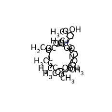 C=CCC1C=C(C)CC(C)CC(OC)C2OC(O)(C(=O)C(=O)N3CCCCC3C(=O)OC(/C(C)=C/C3CCC(O)C(OC)C3)C(C)C(O)CC1=O)C(C)CC2OC